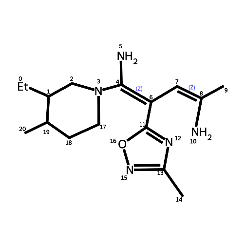 CCC1CN(/C(N)=C(/C=C(/C)N)c2nc(C)no2)CCC1C